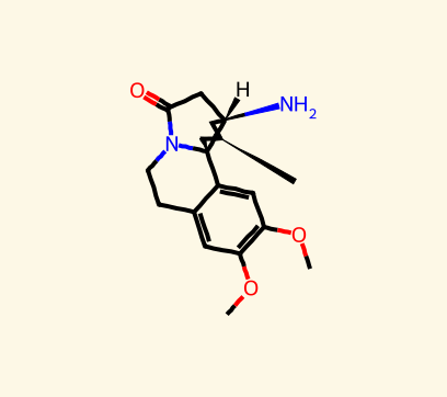 COc1cc2c(cc1OC)[C@@]13C[C@H](C)[C@@H](N)[C@@H]1CC(=O)N3CC2